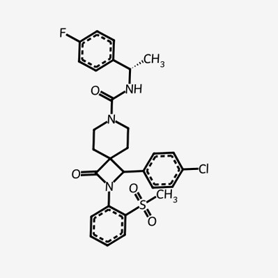 C[C@H](NC(=O)N1CCC2(CC1)C(=O)N(c1ccccc1S(C)(=O)=O)C2c1ccc(Cl)cc1)c1ccc(F)cc1